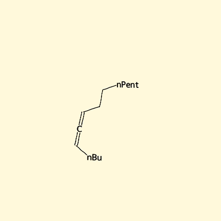 CCCCC=C=CCCCCCCC